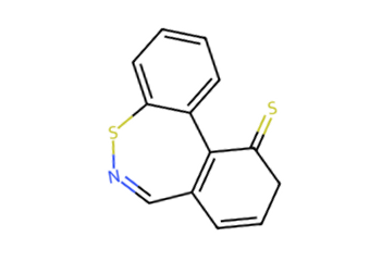 S=C1CC=CC2=C1c1ccccc1SN=C2